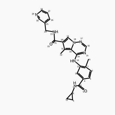 Cc1ccc(C(=O)NC2CC2)cc1Nc1ncnn2cc(C(=O)NCc3cccnc3)c(C)c12